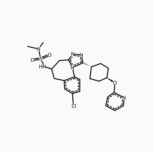 CN(C)S(=O)(=O)NC1Cc2cc(Cl)ccc2-n2c(nnc2[C@H]2CC[C@H](Oc3ccccn3)CC2)C1